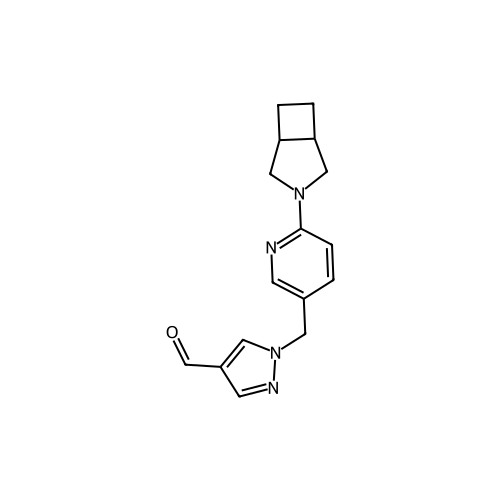 O=Cc1cnn(Cc2ccc(N3CC4CCC4C3)nc2)c1